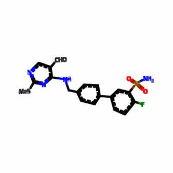 CSc1ncc(C=O)c(NCc2ccc(-c3ccc(F)c(S(N)(=O)=O)c3)cc2)n1